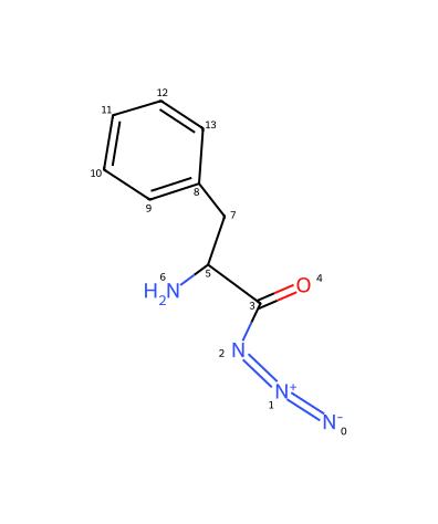 [N-]=[N+]=NC(=O)C(N)Cc1ccccc1